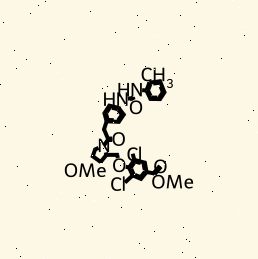 COC(=O)c1cc(Cl)c(OCC2C(OC)CCN2C(=O)Cc2ccc(NC(=O)Nc3ccccc3C)cc2)c(Cl)c1